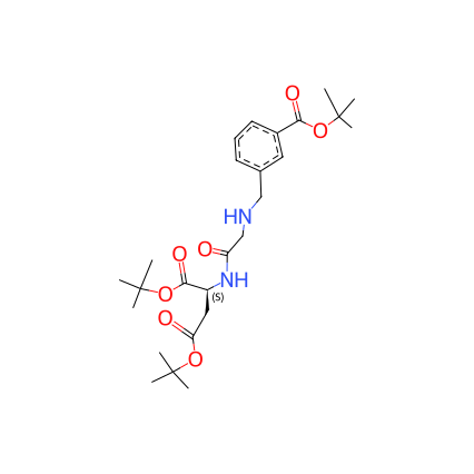 CC(C)(C)OC(=O)C[C@H](NC(=O)CNCc1cccc(C(=O)OC(C)(C)C)c1)C(=O)OC(C)(C)C